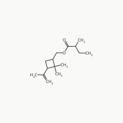 C=C(C)C1CC(COC(=O)C(C)CC)C1(C)C